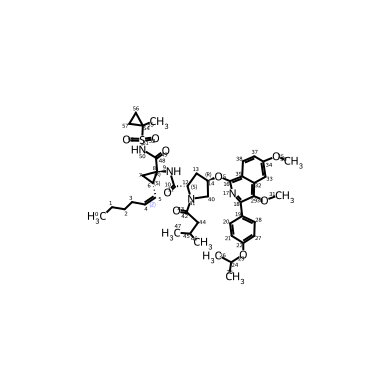 CCCC/C=C\[C@@H]1C[C@]1(NC(=O)[C@@H]1C[C@@H](Oc2nc(-c3ccc(OC(C)C)cc3)c(OC)c3cc(OC)ccc23)CN1C(=O)CC(C)C)C(=O)NS(=O)(=O)C1(C)CC1